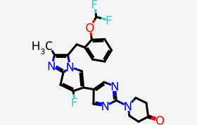 Cc1nc2cc(F)c(-c3cnc(N4CCC(=O)CC4)nc3)cn2c1Cc1ccccc1OC(F)F